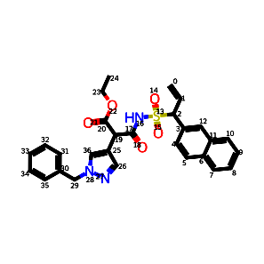 C=CC(c1ccc2ccccc2c1)S(=O)(=O)NC(=O)C(C(=O)OCC)c1cnn(Cc2ccccc2)c1